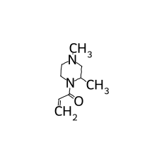 C=CC(=O)N1CCN(C)CC1C